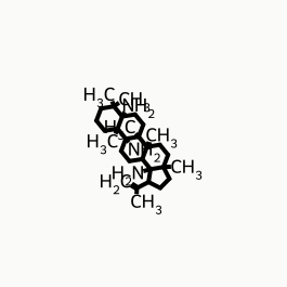 C=C(C)C1CCC2(C)CCC3(C)C(CCC4(N)C3(C)CCC3(N)C(C)(C)CCCC34C)C12N